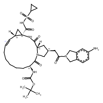 CC(C)(C)OC(=O)N[C@H]1CCCCC/C=C\[C@@H]2C[C@@]2(C(=O)NS(=O)(=O)C2CC2)NC(=O)[C@@H]2C[C@@H](CC(=O)N3Cc4ccc(N)cc4C3)CN2C1=O